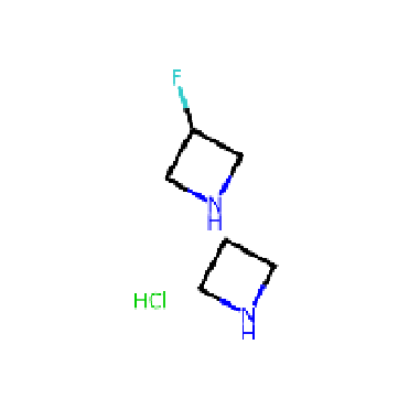 C1CNC1.Cl.FC1CNC1